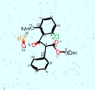 CCCCCCCCCCOC(=O)C(C(=O)c1c(Cl)cccc1OC)c1ccccc1.O=[PH3]